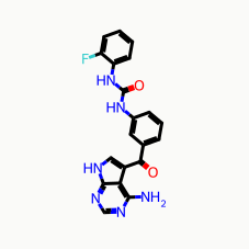 Nc1ncnc2[nH]cc(C(=O)c3cccc(NC(=O)Nc4ccccc4F)c3)c12